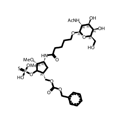 CO[C@H]1C(OP(O)(=S)OC)[C@@H](COC(=O)OCc2ccccc2)C[C@H]1NC(=O)CCCCO[C@@H]1O[C@H](CO)[C@H](O)[C@H](O)[C@H]1NC(C)=O